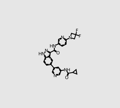 O=C(Nc1ccc(N2CC(F)(F)C2)nc1)c1n[nH]c2ccc(-c3cncc(NC(=O)C4CC4)c3)cc12